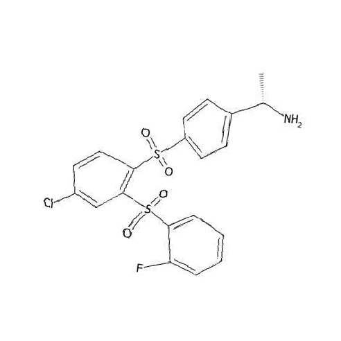 C[C@H](N)c1ccc(S(=O)(=O)c2ccc(Cl)cc2S(=O)(=O)c2ccccc2F)cc1